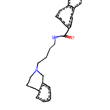 O=C(NCCCCN1CCc2ccccc2C1)c1ccc2ccccc2c1